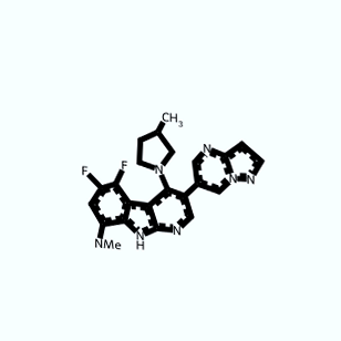 CNc1cc(F)c(F)c2c1[nH]c1ncc(-c3cnc4ccnn4c3)c(N3CCC(C)C3)c12